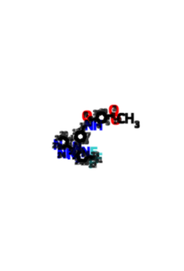 COC(=O)c1ccc(C(=O)NCc2ccc(-n3c(-c4cccnc4N)nc4ccc(C(F)(F)F)nc43)cc2)cc1